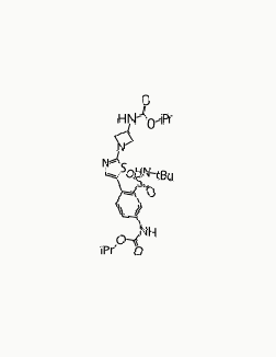 CC(C)OC(=O)Nc1ccc(-c2cnc(N3CC(NC(=O)OC(C)C)C3)s2)c(S(=O)(=O)NC(C)(C)C)c1